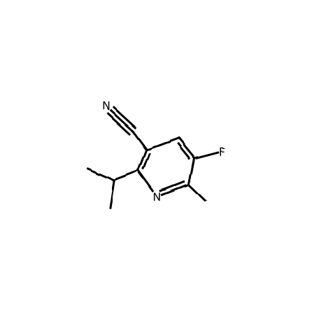 Cc1nc(C(C)C)c(C#N)cc1F